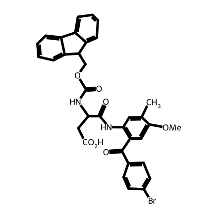 COc1cc(C(=O)c2ccc(Br)cc2)c(NC(=O)C(CC(=O)O)NC(=O)OCC2c3ccccc3-c3ccccc32)cc1C